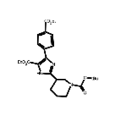 CCOC(=O)c1ccc(-c2nc(C3CCCN(C(=O)OC(C)(C)C)C3)[nH]c2C(=O)OCC)cc1